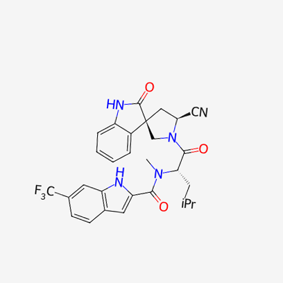 CC(C)C[C@@H](C(=O)N1C[C@]2(C[C@H]1C#N)C(=O)Nc1ccccc12)N(C)C(=O)c1cc2ccc(C(F)(F)F)cc2[nH]1